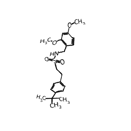 COc1ccc(CNS(=O)(=O)CCc2ccc(C(C)(C)C)cc2)c(OC)c1